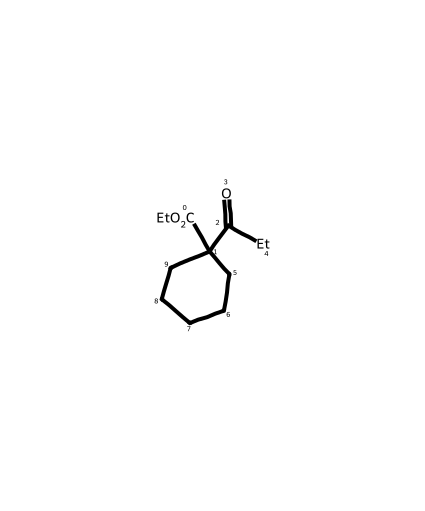 CCOC(=O)C1(C(=O)CC)CCCCC1